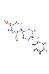 O=C1CCN(C2CCN(Cc3ccccc3)CC2)C(=O)N1